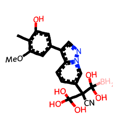 BC(O)(O)C(C#N)(c1ccc2c(-c3cc(O)c(C)c(OC)c3)cnn2c1)C(O)(O)O